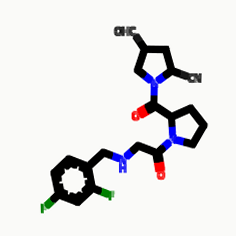 N#CC1CC(C=O)CN1C(=O)C1CCCN1C(=O)CNCc1ccc(F)cc1F